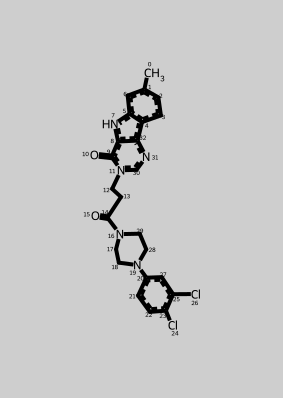 Cc1ccc2c(c1)[nH]c1c(=O)n(CCC(=O)N3CCN(c4ccc(Cl)c(Cl)c4)CC3)cnc12